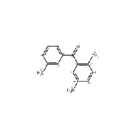 Cc1cccc(C(=O)c2cc(N)ccc2C)c1